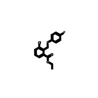 CCOC(=O)c1cccc(Cl)c1CSc1ccc(F)cc1